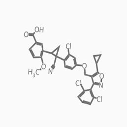 COc1ccc(C(=O)O)cc1C1CC1(C#N)c1ccc(OCc2c(-c3c(Cl)cccc3Cl)noc2C2CC2)cc1Cl